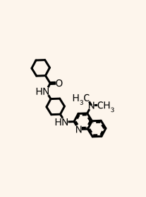 CN(C)c1cc(NC2CCC(NC(=O)C3CCCCC3)CC2)nc2ccccc12